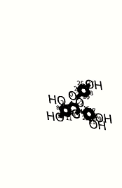 O=C(O[C@H]1Cc2c(O)cc(O)cc2O[C@@H]1c1ccc(O)c(O)c1)c1ccc(O)cc1